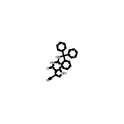 N#Cc1c[nH]c2nc(NC(c3ccccc3)(c3ccccc3)c3ccccc3)[nH]c(=O)c12